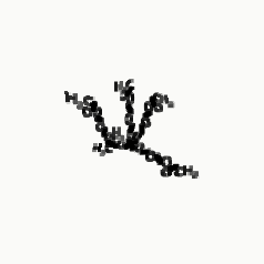 C=CC(=O)OCCOCCOCC(C)(C)COCC(COCCOCCOC(=O)C=C)(COCCOCCOC(=O)C=C)COCCOCCOC(=O)C=C